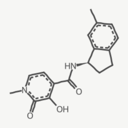 Cc1ccc2c(c1)[C@H](NC(=O)c1ccn(C)c(=O)c1O)CC2